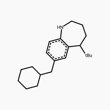 CC(C)(C)C1CCCNc2ccc(CC3CCCCC3)cc21